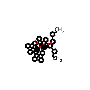 C=Cc1cccc(-c2cccc(-c3ccc(N(c4ccc5c(c4)C4(c6ccccc6-5)c5ccccc5-c5ccc(N(c6ccc(-c7cccc(-c8cccc(C=C)c8)c7)cc6)c6cccc7c6C6(c8ccccc8-c8ccccc86)c6ccccc6-7)cc54)c4cccc5c4C4(c6ccccc6-c6ccccc64)c4ccccc4-5)cc3)c2)c1